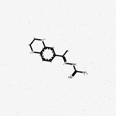 C/C(=N\NC(=N)N)c1ccc2c(c1)OCCO2